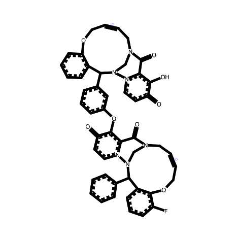 O=C1c2c(O)c(=O)ccn2N2CN1C/C=C\COc1ccccc1C2c1cccc(Oc2c3n(ccc2=O)N2CN(C/C=C\COc4c(F)cccc4C2c2ccccc2)C3=O)c1